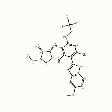 COc1cc2cc(-c3c(Cl)nc(NCC(F)(F)F)nc3N[C@@H]3C[C@H](CO)[C@@H](O)[C@H]3O)oc2cn1